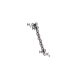 CCCNC(=O)CCOCCOCCOCCOCCOCCOCCOCCOCCNC(=O)CCN1C(=O)CC(C)C1=O